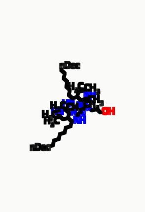 CCCCCCCCCCCCCCCCCC(Nc1nc(NCCCO)nc(NC(CCCCCCCCCCCCCCCCC)C2CC(C)(C)NC(C)(C)C2)n1)C1CC(C)(C)NC(C)(C)C1